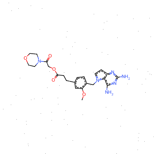 COc1cc(CCC(=O)OCC(=O)N2CCOCC2)ccc1Cn1ccc2nc(N)nc(N)c21